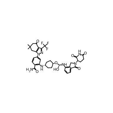 CC1(C)CC(=O)c2c(C(F)(F)F)nn(-c3ccc(C(N)=O)c(N[C@H]4CC[C@H](O[C@H](O)Nc5cccc6c5CN(C5CCC(=O)NC5=O)C6=O)CC4)c3)c2C1